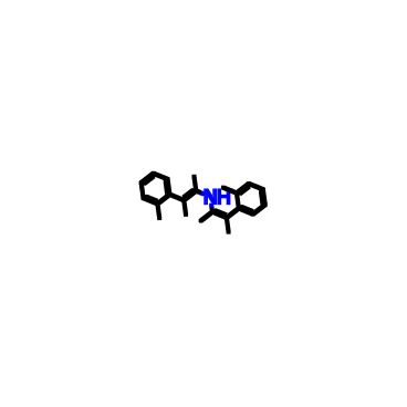 CC(NC(C)=C(C)c1ccccc1C)=C(C)c1ccccc1C